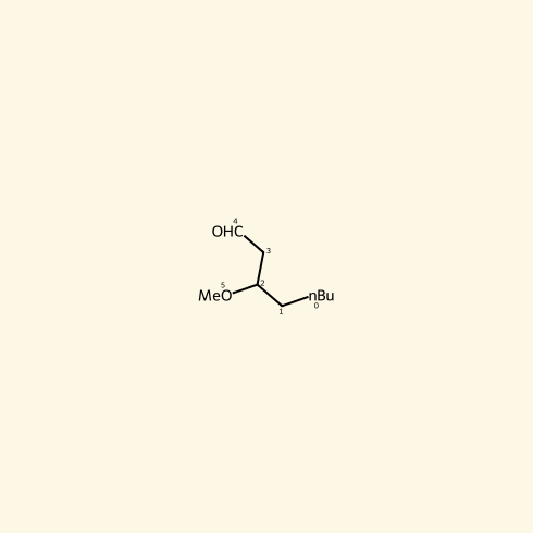 CCCCCC(CC=O)OC